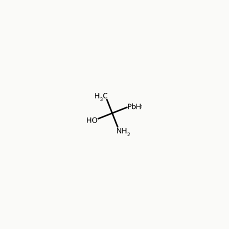 C[C](N)(O)[PbH]